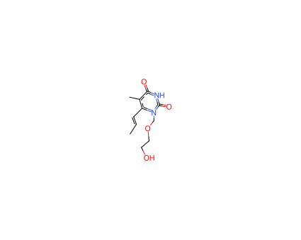 CC=Cc1c(C)c(=O)[nH]c(=O)n1COCCO